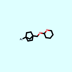 CC(=O)C12CCC(COC3CCCCO3)(CC1)C2